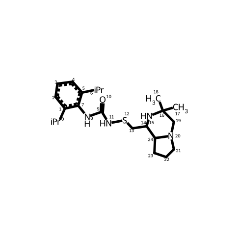 CC(C)c1cccc(C(C)C)c1NC(=O)NSCC1NC(C)(C)CN2CCCC12